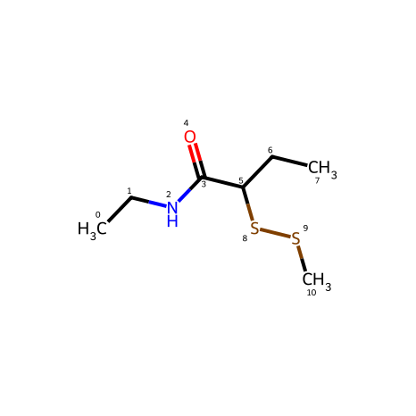 CCNC(=O)C(CC)SSC